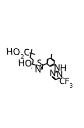 Cc1cc(Nc2nccc(C(F)(F)F)n2)cc(-c2cnc([C@@](C)(O)CCC(C)(C)C(=O)O)s2)c1